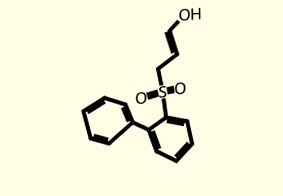 O=S(=O)(CC=CO)c1ccccc1-c1ccccc1